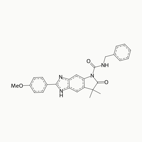 COc1ccc(-c2nc3cc4c(cc3[nH]2)C(C)(C)C(=O)N4C(=O)NCc2ccccc2)cc1